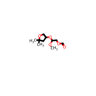 COC(COC=O)OC1COC(C)(C)C1